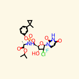 CC(C)OC(=O)[C@H](C)NP(=O)(OC[C@H]1O[C@@H](n2ccc(=O)[nH]c2=O)[C@@](F)(Cl)[C@@H]1O)Oc1cccc(C2(C)CC2)c1